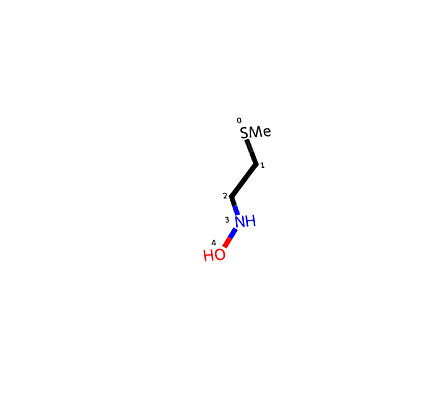 CSCCNO